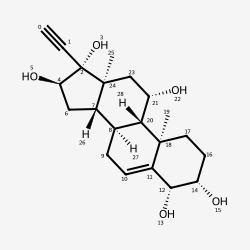 C#C[C@]1(O)[C@H](O)C[C@H]2[C@@H]3CC=C4[C@@H](O)[C@@H](O)CC[C@]4(C)[C@H]3[C@@H](O)C[C@@]21C